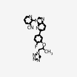 CC(Cn1cnnn1)Oc1cc(-c2ccc3ncn(-c4ncccc4C#N)c3n2)ccc1F